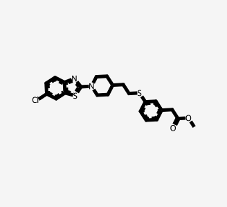 COC(=O)Cc1cccc(SCCC2CCN(c3nc4ccc(Cl)cc4s3)CC2)c1